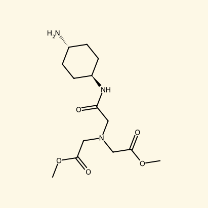 COC(=O)CN(CC(=O)N[C@H]1CC[C@H](N)CC1)CC(=O)OC